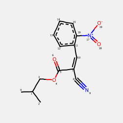 CC(C)COC(=O)C(C#N)=Cc1ccccc1[N+](=O)[O-]